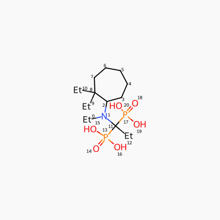 CCN(C1CCCCCC1(CC)CC)C(CC)(P(=O)(O)O)P(=O)(O)O